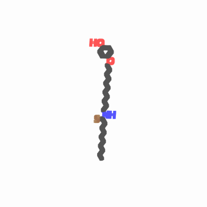 CCCCCCCCCC(=S)NCCCCCCCCCCCOc1ccc(O)cc1